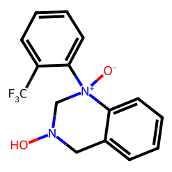 [O-][N+]1(c2ccccc2C(F)(F)F)CN(O)Cc2ccccc21